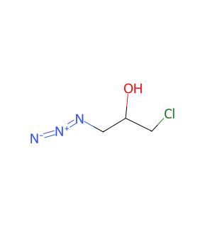 [N-]=[N+]=NCC(O)CCl